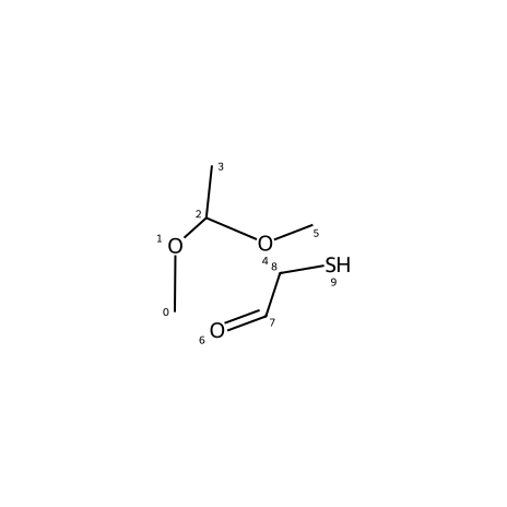 COC(C)OC.O=CCS